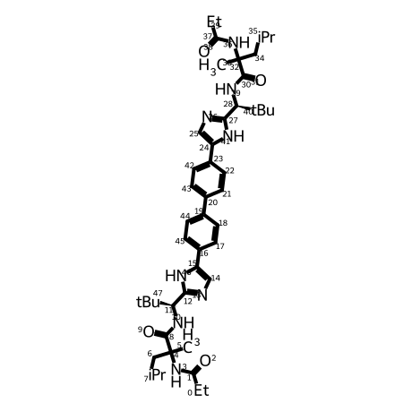 CCC(=O)NC(C)(CC(C)C)C(=O)N[C@H](c1ncc(-c2ccc(-c3ccc(-c4cnc([C@@H](NC(=O)C(C)(CC(C)C)NC(=O)CC)C(C)(C)C)[nH]4)cc3)cc2)[nH]1)C(C)(C)C